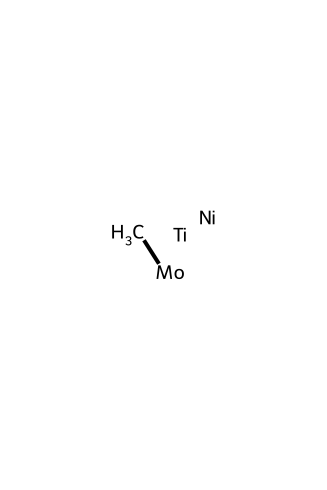 [CH3][Mo].[Ni].[Ti]